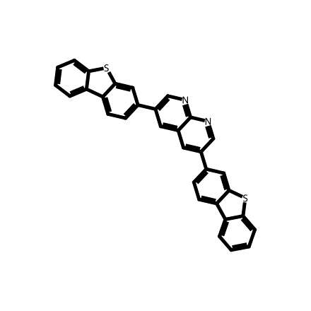 c1ccc2c(c1)sc1cc(-c3cnc4ncc(-c5ccc6c(c5)sc5ccccc56)cc4c3)ccc12